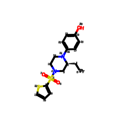 CC(C)C[C@@H]1CN(S(=O)(=O)c2cccs2)CCN1c1ccc(O)cc1